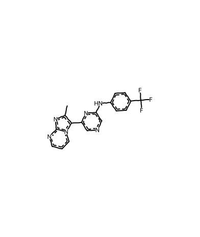 Cc1nc2ncccn2c1-c1cncc(Nc2ccc(C(F)(F)F)cc2)n1